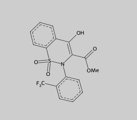 COC(=O)C1=C(O)c2ccccc2S(=O)(=O)N1c1ccccc1C(F)(F)F